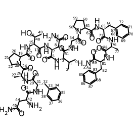 CC(C)[C@H](NC(=O)[C@H](CC(N)=O)NC(=O)[C@@H](NC(=O)C1CCCN1C(=O)[C@H](C)NC(=O)[C@H](Cc1ccccc1)NC(=O)[C@@H](N)CC(N)=O)C(C)O)C(=O)NCC(=O)N1CCCC1C(=O)N[C@@H](Cc1ccccc1)C(=O)N[C@@H](C)C(=O)N[C@@H](Cc1ccccc1)C(N)=O